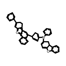 C1=CC(c2cc3c4c(oc3c3ccccc23)C=C(c2ccccc2)CC4)CC=C1N(C1=CC=C2Oc3ccccc3C2C1)c1ccccc1